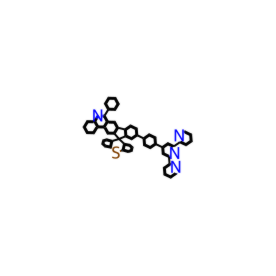 c1ccc(-c2nc3ccccc3c3cc4c(cc23)-c2ccc(-c3ccc(-c5cc(-c6ccccn6)nc(-c6ccccn6)c5)cc3)cc2C42c3ccccc3Sc3ccccc32)cc1